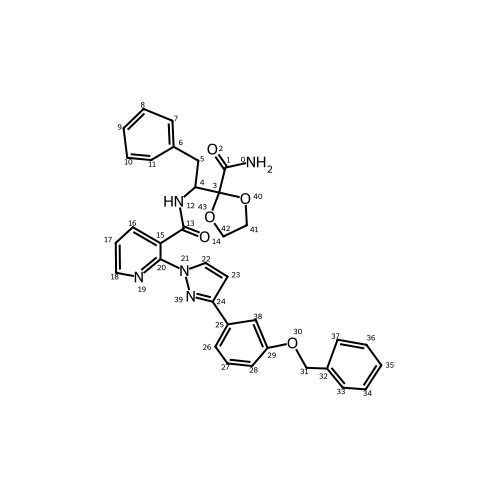 NC(=O)C1(C(Cc2ccccc2)NC(=O)c2cccnc2-n2ccc(-c3cccc(OCc4ccccc4)c3)n2)OCCO1